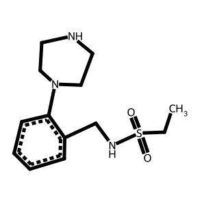 CCS(=O)(=O)NCc1ccccc1N1CCNCC1